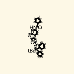 CC(C)(C)[Si](OC[C@H]1OC[C@@H](n2ccc(NC(=O)c3ccccc3)nc2=O)S1)(c1ccccc1)c1ccccc1